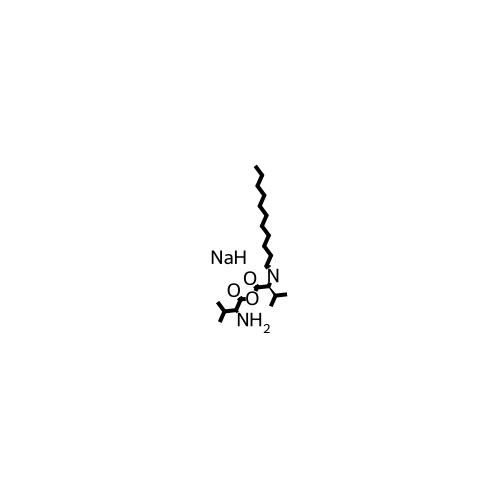 CCCCCCCCCCC=N[C@H](C(=O)OC(=O)[C@@H](N)C(C)C)C(C)C.[NaH]